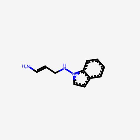 NC=CCNn1ccc2ccccc21